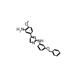 COc1ccc(-c2ccnc(Nc3cccc(OCc4ccccc4)c3)n2)cc1N